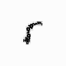 Cc1cc(OCCCN)cc(C)c1-c1cccc(COc2ccc(Cn3oc(=O)[nH]c3=O)cc2)c1